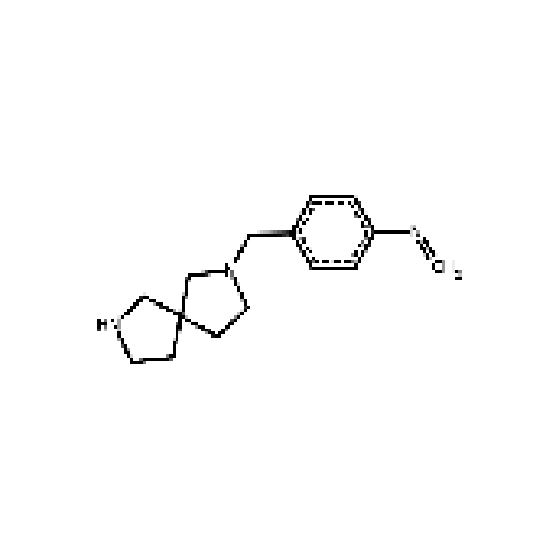 C=Nc1ccc(CN2CCC3(CCNC3)C2)cc1